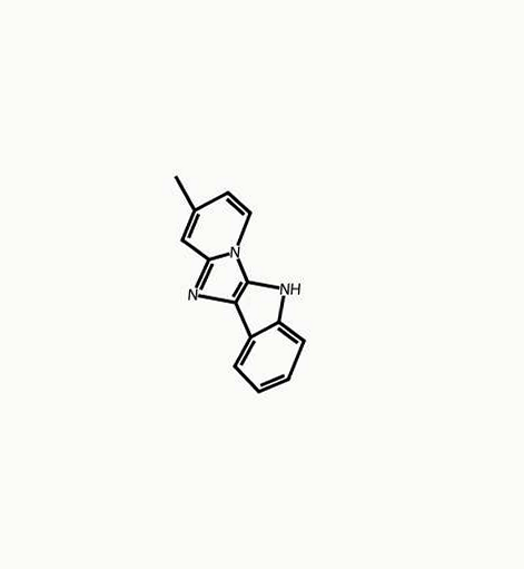 Cc1ccn2c(c1)nc1c3ccccc3[nH]c12